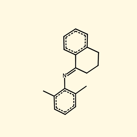 Cc1cccc(C)c1N=C1CCCc2ccccc21